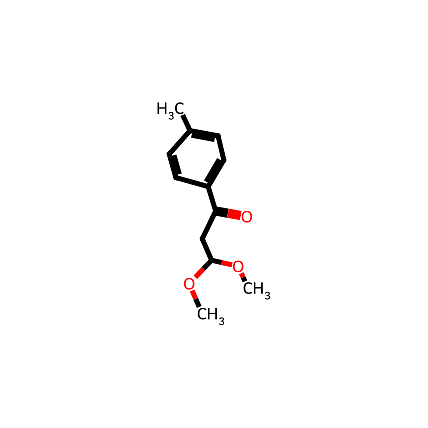 COC(CC(=O)c1ccc(C)cc1)OC